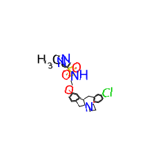 Cn1cc(S(=O)(=O)NCCOc2ccc3c(c2)C(Cc2cccc(Cl)c2)C(N2CCC2)C3)cn1